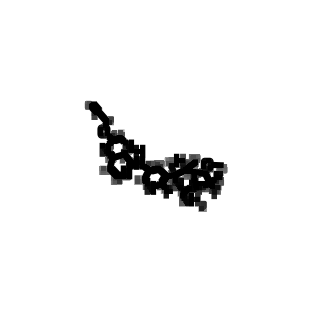 C#CCOc1cnc2c(Nc3cnc(F)c([C@@]4(C)N=C(N)S[C@@]5([C@@H](OC)C(F)(F)F)C[C@H]54)c3)nccc2n1